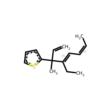 C=CC(C)(/C(=C/C=C\C)CC)c1cccs1